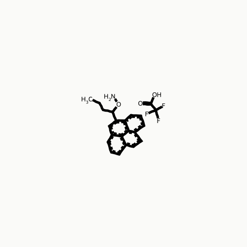 CCCC(ON)c1cc2cccc3ccc4cccc1c4c32.O=C(O)C(F)(F)F